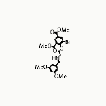 COC(=O)c1cc(Br)c(OCCNCc2cc(OC)cc(OC)c2)c(C(=O)OC)c1